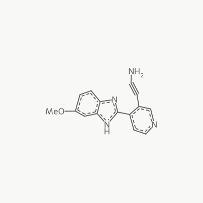 COc1ccc2nc(-c3ccncc3C#CN)[nH]c2c1